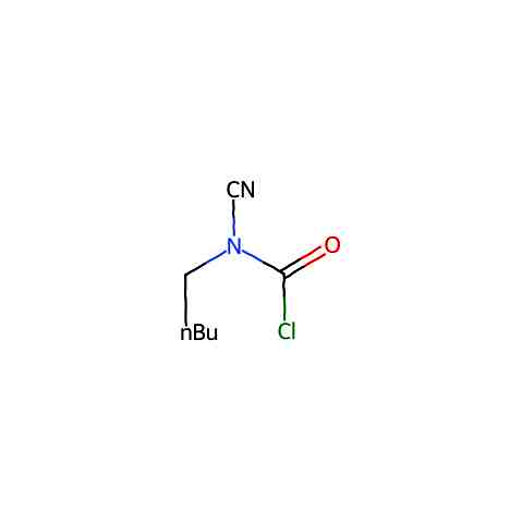 CCCCCN(C#N)C(=O)Cl